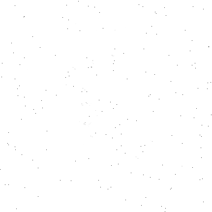 [2H]c1c([2H])c([2H])c(-c2cccc(-c3c([2H])c([2H])c([2H])c([2H])c3[2H])c2-n2c[n+](-c3cccc(Oc4cc5c(cc4-n4c6ccccc6c6ccccc64)c4ccccc4n5-c4cc(C(C)(C)C)ccn4)c3)c3cc4oc5ccccc5c4cc32)c([2H])c1[2H].[Cl-]